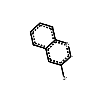 Brc1[c]nc2ccccc2c1